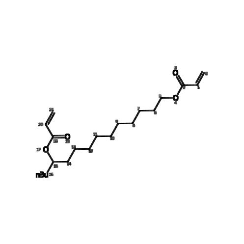 C=CC(=O)OCCCCCCCCCCC(CCCC)OC(=O)C=C